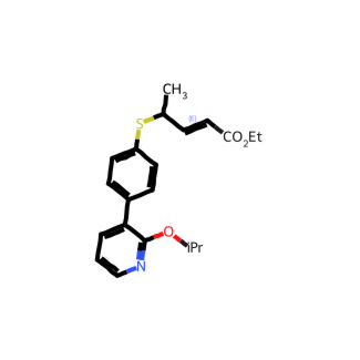 CCOC(=O)/C=C/C(C)Sc1ccc(-c2cccnc2OC(C)C)cc1